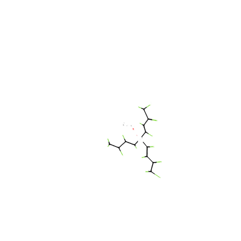 CCCCCCCCC[O][Sn]([CH](F)C(F)C(F)C(F)F)([CH](F)C(F)C(F)C(F)F)[CH](F)C(F)C(F)C(F)F